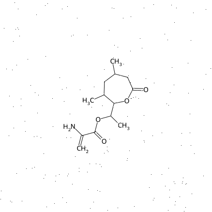 C=C(N)C(=O)OC(C)C1OC(=O)CC(C)CC1C